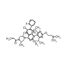 C=CC(=O)N1CC(C)N(c2nc(=O)n(-c3c(C(C)C)nc(OCCN(C)C)nc3C(C)C)c3nc(-c4ccccc4F)c(Cl)cc23)CC1C